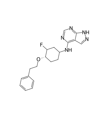 FC1CC(Nc2ncnc3[nH]ncc23)CC[C@@H]1OCCc1ccccc1